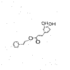 O=C(C=Cc1ccc(O)c(O)c1)OCC=Cc1ccccc1